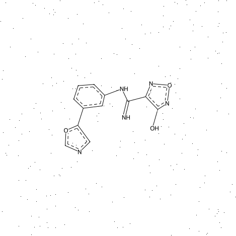 N=C(Nc1cccc(-c2cnco2)c1)c1nonc1O